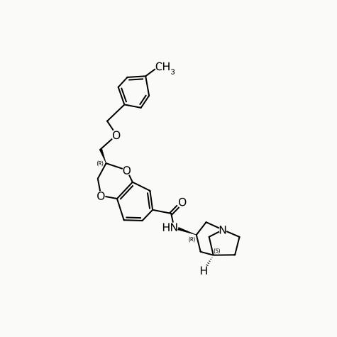 Cc1ccc(COC[C@@H]2COc3ccc(C(=O)N[C@@H]4C[C@@H]5CCN(C5)C4)cc3O2)cc1